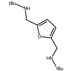 CC(C)(C)NCc1ccc(CNC(C)(C)C)o1